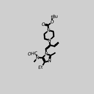 C=C/C(=C\n1c(C)nc(CC)c1N(C)C=O)N1CCN(C(=O)OC(C)(C)C)CC1